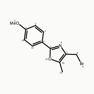 COc1ccc(-c2nc(CBr)c(C)o2)cc1